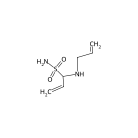 C=CCNC(C=C)S(N)(=O)=O